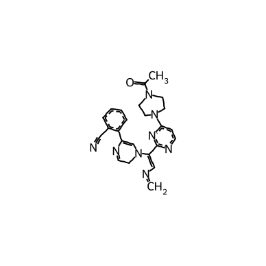 C=N/C=C(/c1nccc(N2CCN(C(C)=O)CC2)n1)N1C=C(c2ccccc2C#N)N=CC1